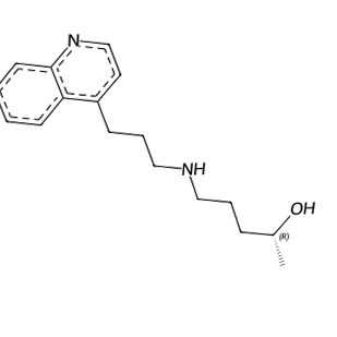 C[C@@H](O)CCCNCCCc1ccnc2ccccc12